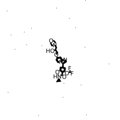 COc1cc(-c2cnc3cc(OCC(O)CN4CCOCC4)ccn23)cc(OC(F)F)c1C(=O)NC1CC1